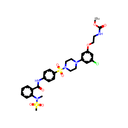 CN(c1ccccc1C(=O)Nc1ccc(S(=O)(=O)N2CCN(c3cc(Cl)cc(OCCNC(=O)OC(C)(C)C)c3)CC2)cc1)S(C)(=O)=O